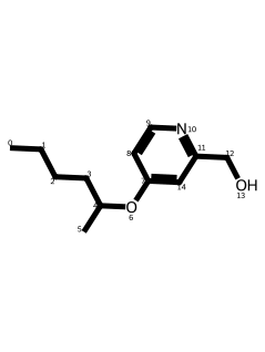 CCCCC(C)Oc1ccnc(CO)c1